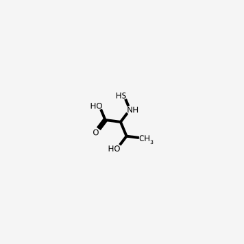 CC(O)C(NS)C(=O)O